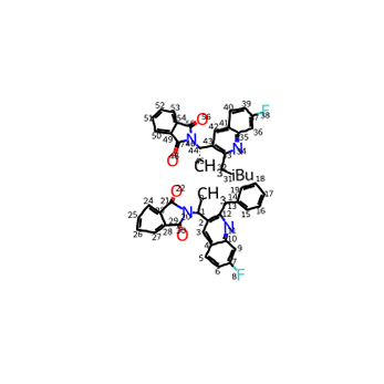 CC(c1cc2ccc(F)cc2nc1Cc1ccccc1)N1C(=O)c2ccccc2C1=O.CCC(C)Cc1nc2cc(F)ccc2cc1[C@H](C)N1C(=O)c2ccccc2C1=O